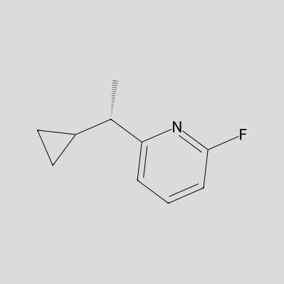 C[C@H](c1cccc(F)n1)C1CC1